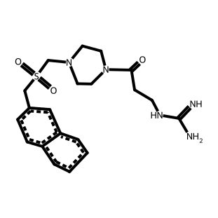 N=C(N)NCCC(=O)N1CCN(CS(=O)(=O)Cc2ccc3ccccc3c2)CC1